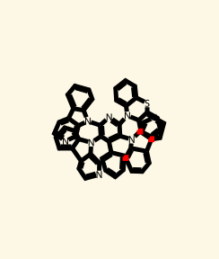 c1ccc(-c2c(-n3c4ccccc4c4ccncc43)c(N3c4ccccc4Sc4ccccc43)nc(-n3c4ccccc4c4ccncc43)c2-n2c3ccccc3c3ccncc32)cc1